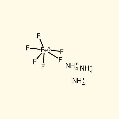 [F][Fe-3]([F])([F])([F])([F])[F].[NH4+].[NH4+].[NH4+]